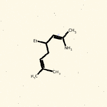 CCC(/C=C(/C)N)CC=C(C)C